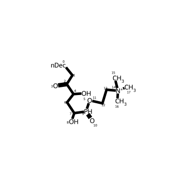 CCCCCCCCCCCC(=O)C(O)CC(O)[PH](=O)OCC[N+](C)(C)C